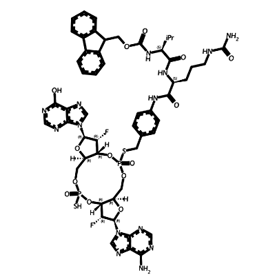 CC(C)[C@H](NC(=O)OCC1c2ccccc2-c2ccccc21)C(=O)N[C@@H](CCCNC(N)=O)C(=O)Nc1ccc(CSP2(=O)OC[C@H]3O[C@@H](n4cnc5c(N)ncnc54)[C@H](F)[C@@H]3OP(=O)(S)OC[C@H]3O[C@@H](n4cnc5c(O)ncnc54)[C@H](F)[C@@H]3O2)cc1